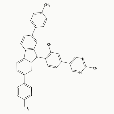 Cc1ccc(-c2ccc3c4ccc(-c5ccc(C)cc5)cc4n(-c4ccc(-c5cnc(C#N)nc5)cc4C#N)c3c2)cc1